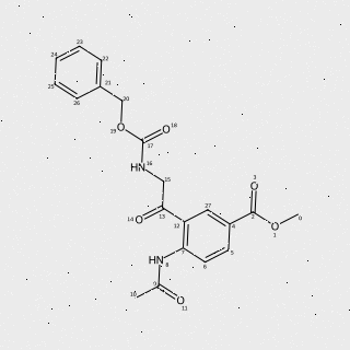 COC(=O)c1ccc(NC(C)=O)c(C(=O)CNC(=O)OCc2ccccc2)c1